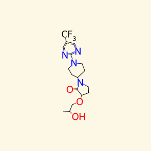 CC(O)COC1CCN(C2CCN(c3ncc(C(F)(F)F)cn3)CC2)C1=O